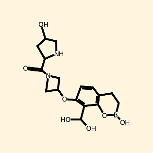 O=C(C1CC(O)CN1)N1CC(Oc2ccc3c(c2C(O)O)OB(O)CC3)C1